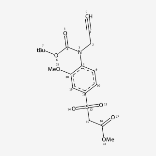 C#CCN(C(=O)OC(C)(C)C)c1ccc(S(=O)(=O)CC(=O)OC)cc1OC